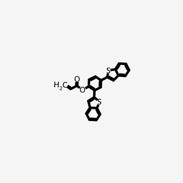 C=CC(=O)Oc1ccc(-c2cc3ccccc3s2)cc1-c1cc2ccccc2s1